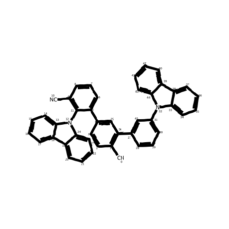 N#Cc1ccc(-c2cccc(C#N)c2-n2c3ccccc3c3ccccc32)cc1-c1cccc(-n2c3ccccc3c3ccccc32)c1